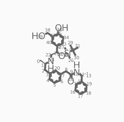 C[C@H](Cc1cccc(CC(=O)N[C@H](C)c2ccccc2)c1)NC[C@H](O[Si](C)(C)C(C)(C)C)c1ccc(O)c(CO)c1